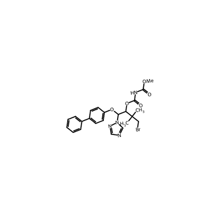 COC(=O)NC(=O)OC(C(Oc1ccc(-c2ccccc2)cc1)n1cncn1)C(C)(C)CBr